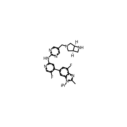 Cc1nc2c(F)cc(-c3cc(Nc4ncc(CN5C[C@@H]6CN[C@@H]6C5)cn4)ncc3F)cc2n1C(C)C